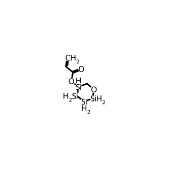 C=CC(=O)O[SiH]1CO[SiH2][SiH2][SiH2]1